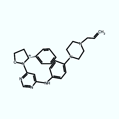 C=CCN1CCN(c2ccc(Nc3cc(N4OCC[C@@H]4c4ccccc4)ncn3)cc2)CC1